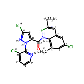 CCOC(=O)/C(F)=C/c1cc(Cl)cc(C)c1NC(=O)c1cc(Br)nn1-c1ncccc1Cl